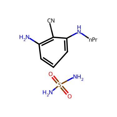 CCCNc1cccc(N)c1C#N.NS(N)(=O)=O